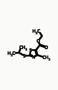 CCOC(=O)c1sc(SC(C)C)nc1C